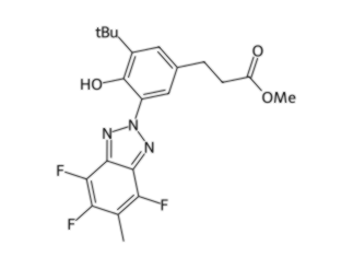 COC(=O)CCc1cc(-n2nc3c(F)c(C)c(F)c(F)c3n2)c(O)c(C(C)(C)C)c1